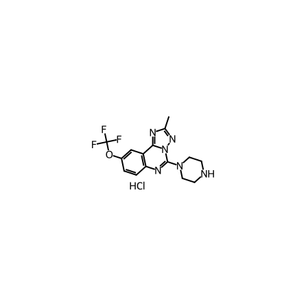 Cc1nc2c3cc(OC(F)(F)F)ccc3nc(N3CCNCC3)n2n1.Cl